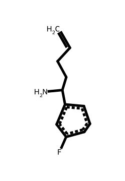 C=CCCC(N)c1cccc(F)c1